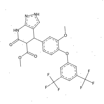 COC(=O)C1C(=O)Nc2n[nH]cc2C1c1ccc(Oc2cc(C(F)(F)F)cc(C(F)(F)F)c2)c(OC)c1